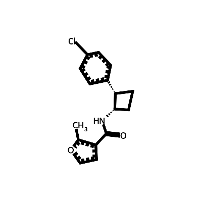 Cc1occc1C(=O)N[C@H]1CC[C@H]1c1ccc(Cl)cc1